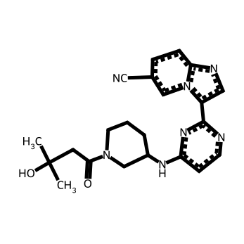 CC(C)(O)CC(=O)N1CCCC(Nc2ccnc(-c3cnc4ccc(C#N)cn34)n2)C1